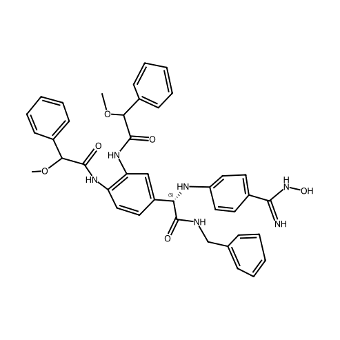 COC(C(=O)Nc1ccc([C@H](Nc2ccc(C(=N)NO)cc2)C(=O)NCc2ccccc2)cc1NC(=O)C(OC)c1ccccc1)c1ccccc1